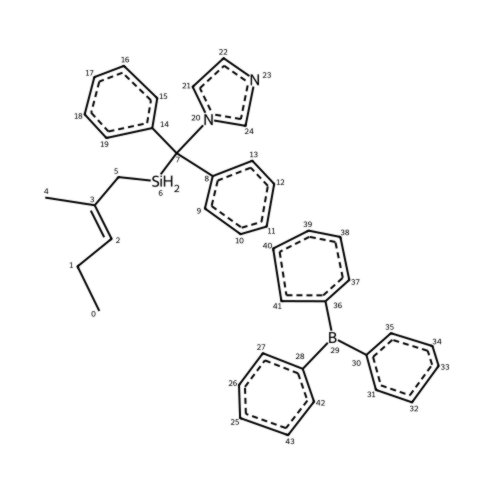 CCC=C(C)C[SiH2]C(c1ccccc1)(c1ccccc1)n1ccnc1.c1ccc(B(c2ccccc2)c2ccccc2)cc1